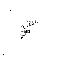 CCCCC(CC)NCCC(=O)c1ccc(F)cc1.Cl